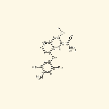 COc1cc2nccc(Oc3cc(F)c(N)cc3F)c2cc1C(N)=O